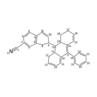 N#Cc1ccc2c(c1)CC(C1C3CC=CC=C3C(c3ccccc3)=C3C=CCCC31)C=C2